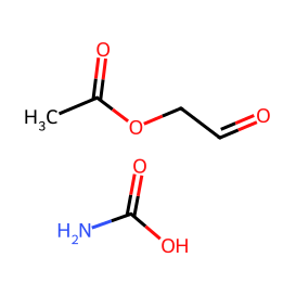 CC(=O)OCC=O.NC(=O)O